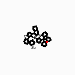 CC(C)(C)c1ccc(N2B3c4cccc5c4N(c4ccccc4C5(c4ccccc4)c4ccccc4)c4cc5ccccc5c(c43)-c3ccc4oc5ccccc5c4c32)cc1